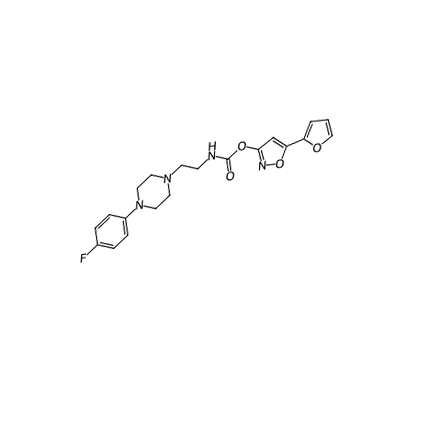 O=C(NCCN1CCN(c2ccc(F)cc2)CC1)Oc1cc(-c2ccco2)on1